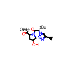 COC(=O)C1CC(O)CN1C(=O)[C@@H](n1cc(C2CC2)nn1)C(C)(C)C